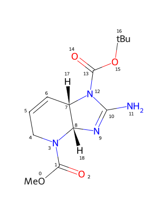 COC(=O)N1CC=C[C@H]2[C@@H]1N=C(N)N2C(=O)OC(C)(C)C